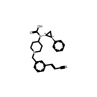 N#CC=Cc1cccc(CN2CCC(N(C(=O)O)[C@@H]3C[C@H]3c3ccccc3)CC2)c1